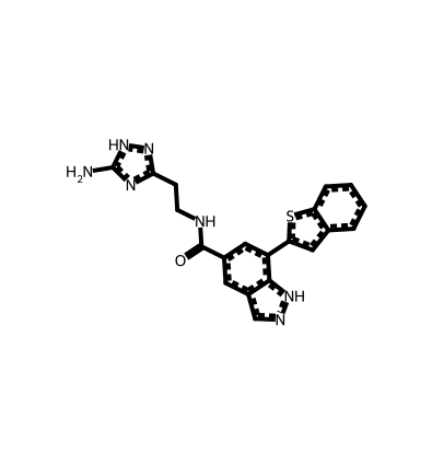 Nc1nc(CCNC(=O)c2cc(-c3cc4ccccc4s3)c3[nH]ncc3c2)n[nH]1